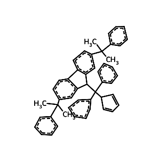 CC(C)(c1ccccc1)c1ccc2c(c1)C(C(c1ccccc1)(c1ccccc1)C1C=CC=C1)c1cc(C(C)(C)c3ccccc3)ccc1-2